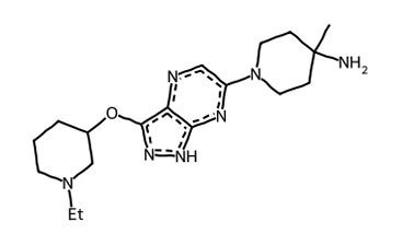 CCN1CCCC(Oc2n[nH]c3nc(N4CCC(C)(N)CC4)cnc23)C1